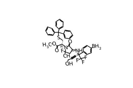 Bc1ccc([C@](C#CCO)(N[C@H]2CC(C)(F)N([C@@H](CSC(c3ccccc3)(c3ccccc3)c3ccccc3)C(=O)OC)C2=O)C(F)(F)F)cc1